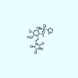 COc1cc(NS(=O)(=O)c2cccs2)c(SC)c(C=CN2C(=O)NC(=O)C2=O)c1O